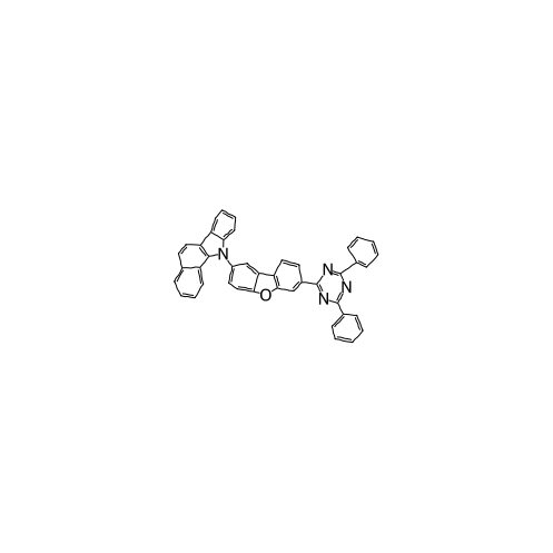 c1ccc(-c2nc(-c3ccccc3)nc(-c3ccc4c(c3)oc3ccc(-n5c6ccccc6c6ccc7ccccc7c65)cc34)n2)cc1